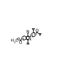 COC(=O)N1CCc2c(C#N)c(N3CCN(C(=O)C4CC4)C(C4CC4)C3)nc(C3CC3)c2C1